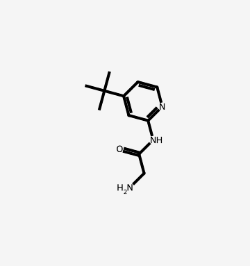 CC(C)(C)c1ccnc(NC(=O)CN)c1